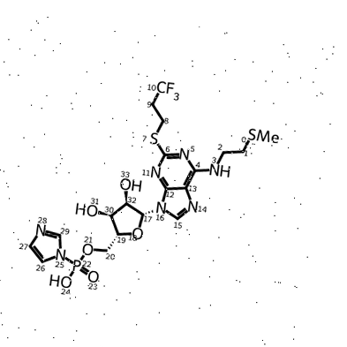 CSCCNc1nc(SCCC(F)(F)F)nc2c1ncn2[C@@H]1O[C@H](COP(=O)(O)n2ccnc2)[C@@H](O)[C@H]1O